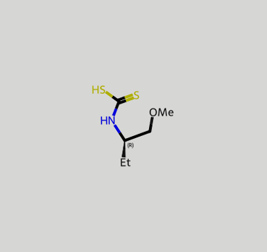 CC[C@H](COC)NC(=S)S